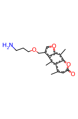 Cc1c2oc(=O)cc(C)c2c(C)c2c(COCCCN)coc12